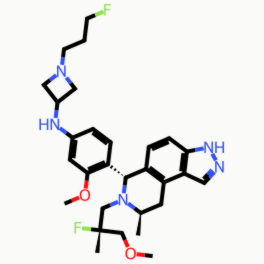 COC[C@](C)(F)CN1[C@H](c2ccc(NC3CN(CCCF)C3)cc2OC)c2ccc3[nH]ncc3c2C[C@H]1C